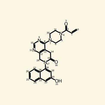 C=CC(=O)N1CCN(c2ncnc3c2CC(=O)N(c2cc(O)cc4ccccc24)C3)CC1